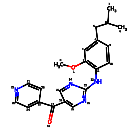 COc1cc(CC(C)C)ccc1Nc1ncc(C(=O)c2ccncc2)cn1